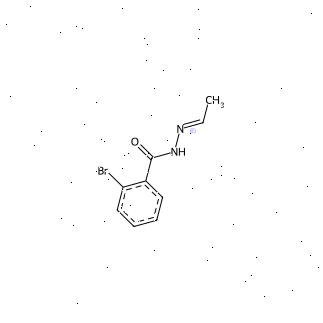 C/C=N/NC(=O)c1ccccc1Br